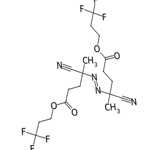 CC(C#N)(CCC(=O)OCCC(F)(F)F)N=NC(C)(C#N)CCC(=O)OCCC(F)(F)F